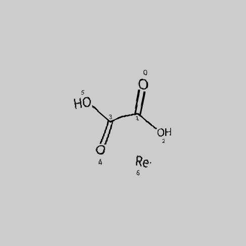 O=C(O)C(=O)O.[Re]